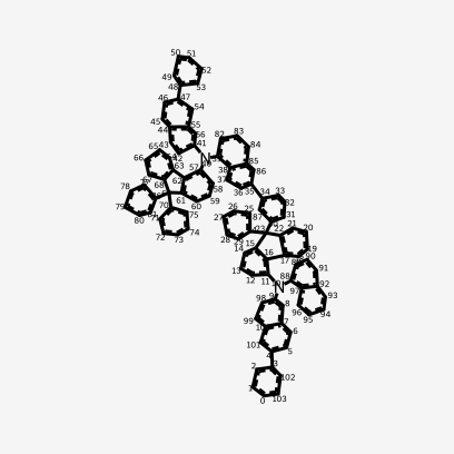 c1ccc(-c2ccc3cc(N(c4cccc5c4-c4ccccc4C5(c4ccccc4)c4cccc(-c5ccc6c(N(c7ccc8ccc(-c9ccccc9)cc8c7)c7cccc8c7-c7ccccc7C8(c7ccccc7)c7ccccc7)cccc6c5)c4)c4cccc5ccccc45)ccc3c2)cc1